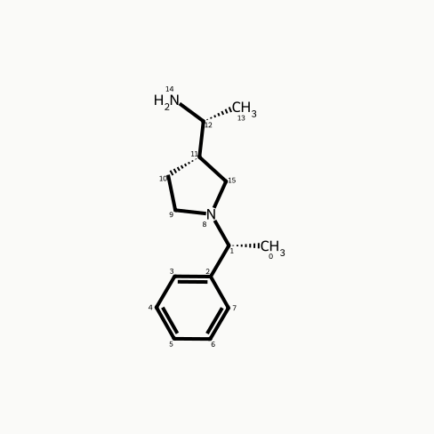 C[C@H](c1ccccc1)N1CC[C@H]([C@@H](C)N)C1